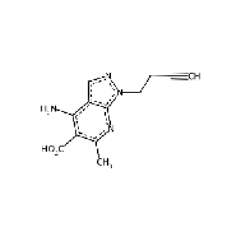 C#CCCn1ncc2c(N)c(C(=O)O)c(C)nc21